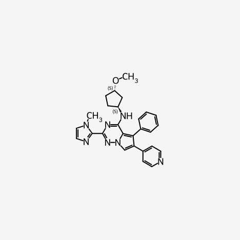 CO[C@H]1CC[C@H](Nc2nc(-c3nccn3C)nn3cc(-c4ccncc4)c(-c4ccccc4)c23)C1